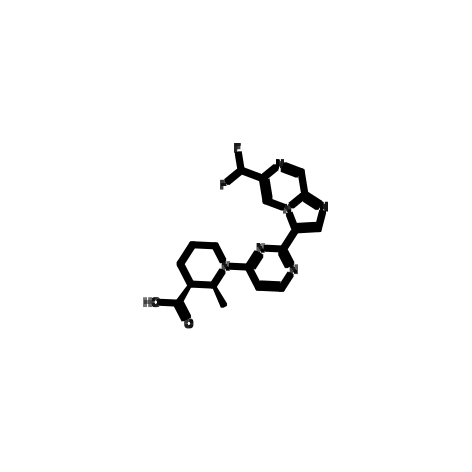 C[C@H]1[C@@H](C(=O)O)CCCN1c1ccnc(-c2cnc3cnc(C(F)F)cn23)n1